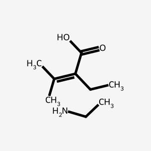 CCC(C(=O)O)=C(C)C.CCN